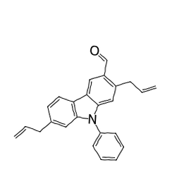 C=CCc1ccc2c3cc(C=O)c(CC=C)cc3n(-c3ccccc3)c2c1